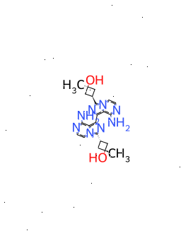 C[C@]1(O)C[C@@H](c2nc(-c3nc([C@H]4C[C@@](C)(O)C4)n4ccnc(N)c34)c3c(N)nccn32)C1